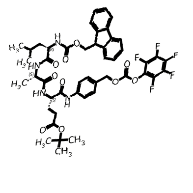 CC(C)C[C@@H](NC(=O)OCC1c2ccccc2-c2ccccc21)C(=O)N[C@@H](C)C(=O)N[C@@H](CCC(=O)OC(C)(C)C)C(=O)Nc1ccc(COC(=O)Oc2c(F)c(F)c(F)c(F)c2F)cc1